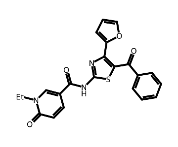 CCn1cc(C(=O)Nc2nc(-c3ccco3)c(C(=O)c3ccccc3)s2)ccc1=O